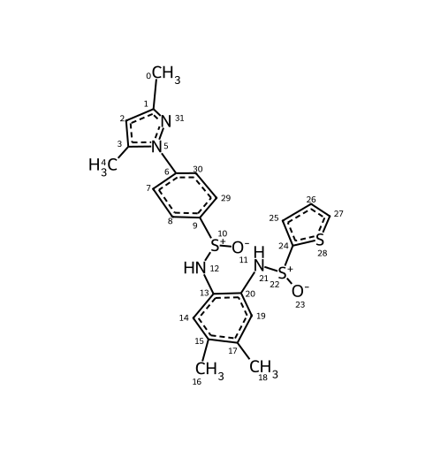 Cc1cc(C)n(-c2ccc([S+]([O-])Nc3cc(C)c(C)cc3N[S+]([O-])c3cccs3)cc2)n1